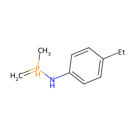 C=[PH](C)Nc1ccc(CC)cc1